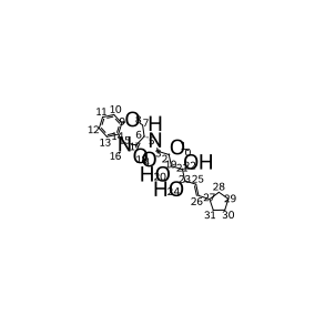 CO[C@@H](C(=O)N[C@H]1COc2ccccc2N(C)C1=O)[C@H](O)[C@@H](O)[C@H](O)/C=C/C1CCCC1